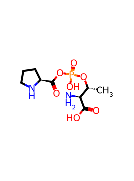 C[C@@H](OP(=O)(O)OC(=O)[C@@H]1CCCN1)[C@H](N)C(=O)O